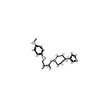 COc1ccc(OCC(C)C(C)CN2CCC(c3ccsc3)CC2)cc1